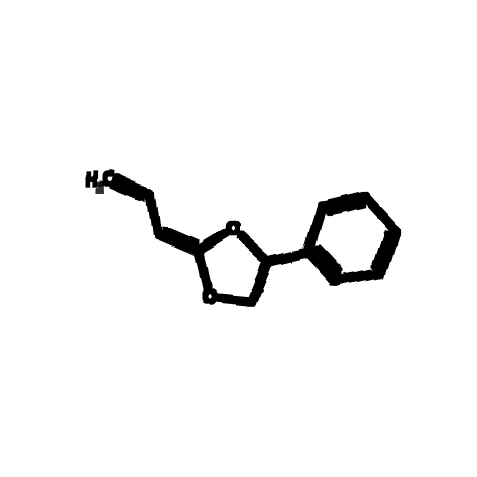 C=CC=C1OCC(c2ccccc2)O1